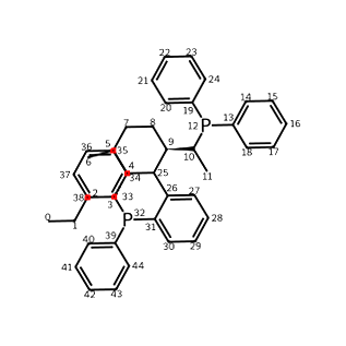 CCCC[C@@H]1C(C)CC[C@@H](C(C)P(c2ccccc2)c2ccccc2)C1c1ccccc1P(c1ccccc1)c1ccccc1